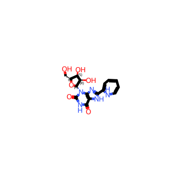 O=c1[nH]c(=O)n([C@@H]2O[C@H](CO)[C@@H](O)[C@H]2O)c2nc(C3=CC=CC=CN3)[nH]c12